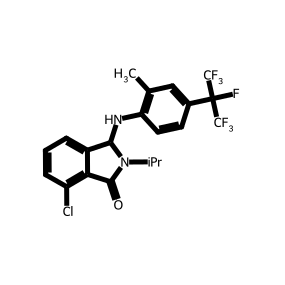 Cc1cc(C(F)(C(F)(F)F)C(F)(F)F)ccc1NC1c2cccc(Cl)c2C(=O)N1C(C)C